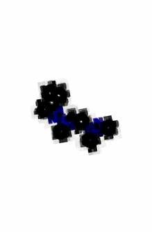 c1ccc2c(-c3nc(-n4c5ccccc5n5c6cc(-n7c8ccccc8n8c9ccccc9nc78)ccc6cc45)nc4ccccc34)cccc2c1